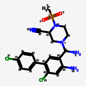 CS(=O)(=O)N1CCN(C(N)c2cc(-c3ccc(Cl)cc3)c(Cl)cc2N)CC1C#N